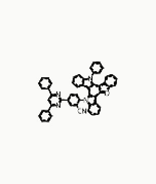 N#Cc1cc(-c2nc(-c3ccccc3)cc(-c3ccccc3)n2)ccc1-n1c2ccccc2c2c3oc4ccccc4c3c3c(c4ccccc4n3-c3ccccc3)c21